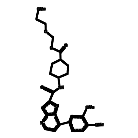 COCCOCOC(=O)C1CCC(NC(=O)c2cc3nccc(-c4ccc(OC)c(OC)c4)n3n2)CC1